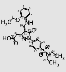 CCOc1ccccc1NC=C1C(=O)N(c2ccc(S(=O)(=O)N(CC)CC)cc2)N=C1CC(=O)O